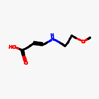 COCCNC=CC(=O)O